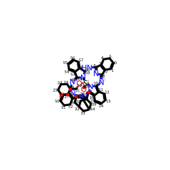 C1=CC2=C(CC1)C1=N/C2=N\c2c3ccccc3c3n2[Si](OCC2CCCCC2)(OCC24CC5CC(CC(C5)C2)C4)N2/C(=N\C4=NC(=N\3)/C3=C4C=CCC3)c3ccccc3C2N1